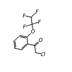 O=C(CCl)c1ccccc1OC(F)(F)C(F)F